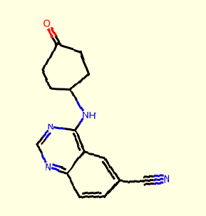 N#Cc1ccc2ncnc(NC3CCC(=O)CC3)c2c1